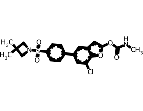 CNC(=O)Oc1cc2cc(-c3ccc(S(=O)(=O)N4CC(C)(C)C4)cc3)cc(Cl)c2o1